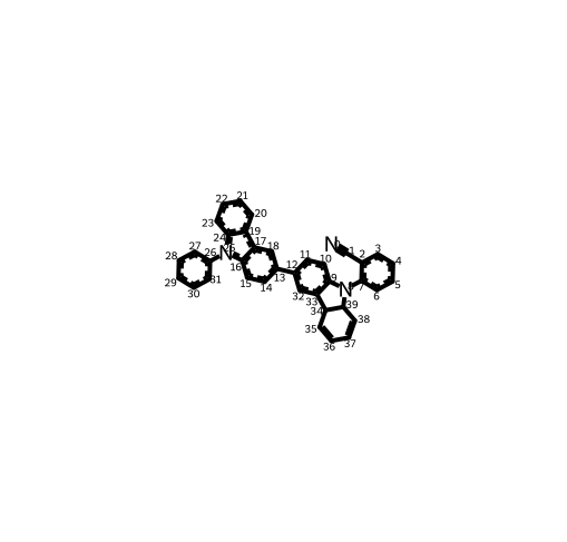 N#Cc1ccccc1N1c2ccc(-c3ccc4c(c3)c3ccccc3n4-c3ccccc3)cc2C2C=CC=CC21